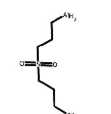 O=S(=O)(CC[CH2][AlH2])CC[CH2][AlH2]